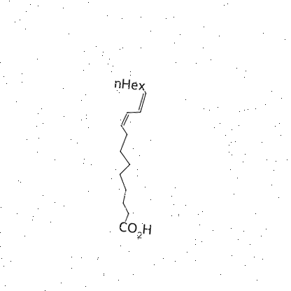 CCCCCC/C=C\C=C/CCCCCCCC(=O)O